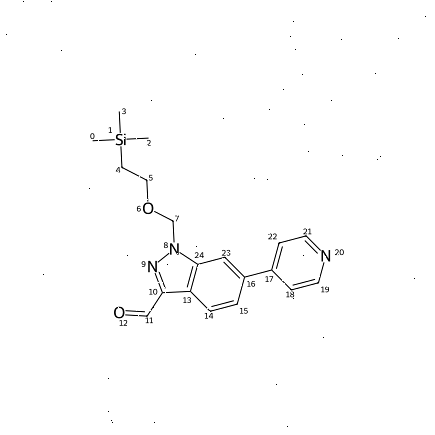 C[Si](C)(C)CCOCn1nc(C=O)c2ccc(-c3ccncc3)cc21